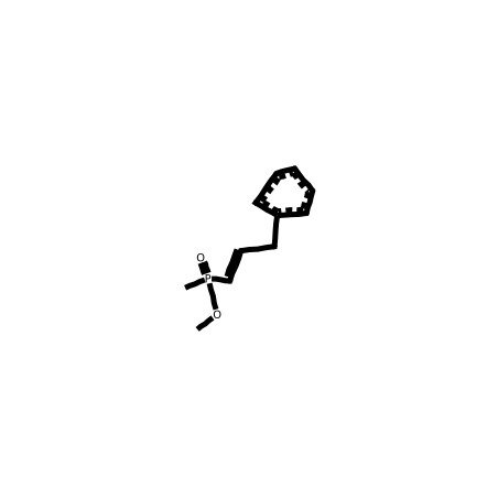 COP(C)(=O)/C=C/Cc1ccccc1